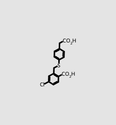 O=C(O)Cc1ccc(SCc2cc(Cl)ccc2C(=O)O)cc1